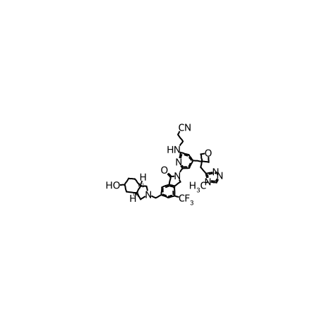 Cn1cnnc1CC1(c2cc(NCCC#N)nc(N3Cc4c(cc(CN5C[C@H]6CCC(O)C[C@H]6C5)cc4C(F)(F)F)C3=O)c2)COC1